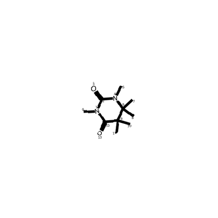 CN1C(=O)N(C)C(C)(C)C(C)(C)C1=O